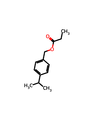 CCC(=O)OCc1ccc(C(C)C)cc1